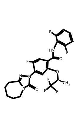 C[C@H](Oc1cc(-n2nc3n(c2=O)CCCCC3)c(F)cc1C(=O)Nc1c(F)cccc1F)C(F)(F)F